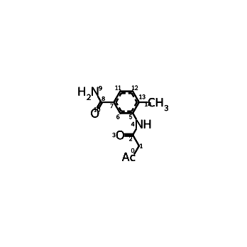 CC(=O)CC(=O)Nc1cc(C(N)=O)ccc1C